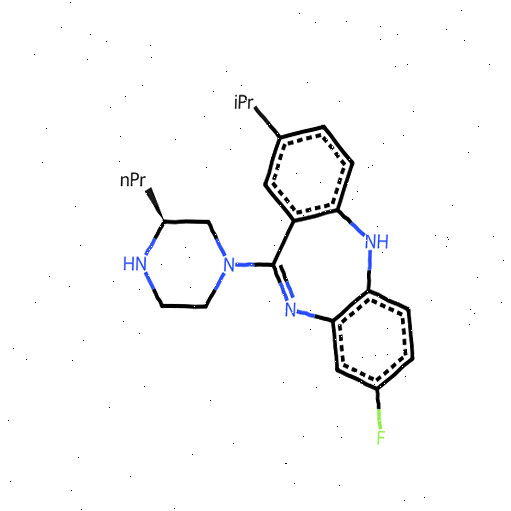 CCC[C@H]1CN(C2=Nc3cc(F)ccc3Nc3ccc(C(C)C)cc32)CCN1